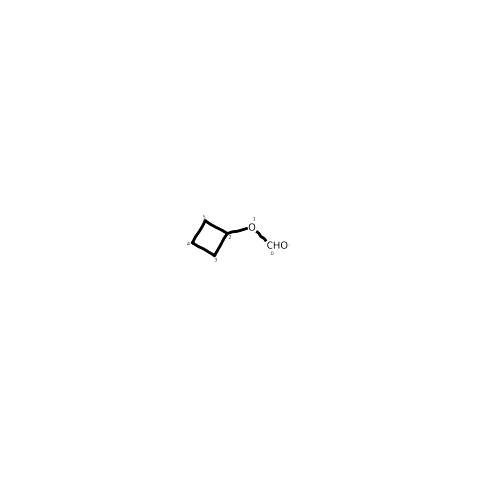 O=[C]O[C]1CCC1